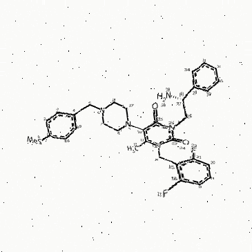 CSc1ccc(CN2CCN(c3c(C)n(Cc4c(F)cccc4F)c(=O)n(C[C@H](N)c4ccccc4)c3=O)CC2)cc1